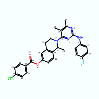 Cc1nc(Nc2ccc(F)cc2)nc(N2CCc3cc(OC(=O)c4ccc(Cl)cc4)ccc3C2C)c1C